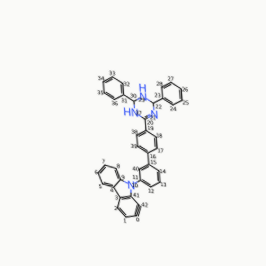 c1ccc2c3ccccc3n(-c3cccc(-c4ccc(C5=NC(c6ccccc6)NC(c6ccccc6)N5)cc4)c3)c2c#1